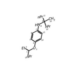 CCCC(CC)Oc1ccc(NC(C)(CCC)CCC)cc1